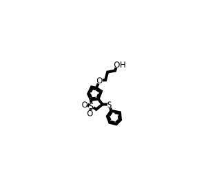 O=S1(=O)CC(Sc2ccccc2)c2cc(OCCCO)ccc21